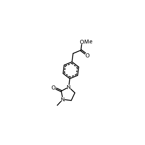 COC(=O)Cc1ccc(N2CCN(C)C2=O)cc1